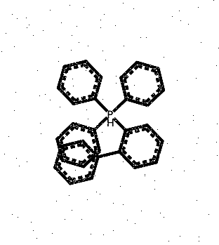 c1ccc(-c2ccccc2[PH](c2ccccc2)(c2ccccc2)c2ccccc2)cc1